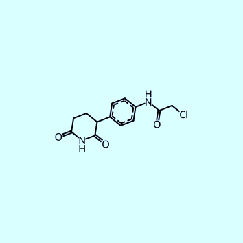 O=C1CCC(c2ccc(NC(=O)CCl)cc2)C(=O)N1